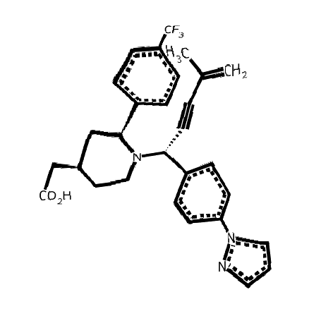 C=C(C)C#C[C@H](c1ccc(-n2cccn2)cc1)N1CC[C@@H](CC(=O)O)C[C@H]1c1ccc(C(F)(F)F)cc1